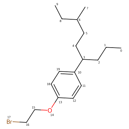 CCCC(CCC(C)CC)c1ccc(OCCBr)cc1